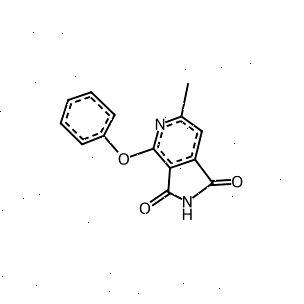 Cc1cc2c(c(Oc3ccccc3)n1)C(=O)NC2=O